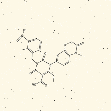 CCc1c(C(=O)O)c(=O)n(Cc2cccc([N+](=O)[O-])c2C)c(=O)n1-c1ccc2c(c1)OCC(=O)N2C